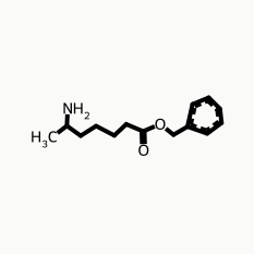 CC(N)CCCCC(=O)OCc1ccccc1